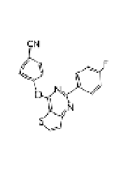 N#Cc1ccc(Oc2nc(-c3ccc(F)cc3)nc3ccsc23)cc1